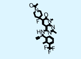 C#C[C@@H](Nc1nc(C)nc2c1cc(C1(F)CCN(C(C)=O)CC1)c(=O)n2C)c1cccc(C(F)(F)F)c1C